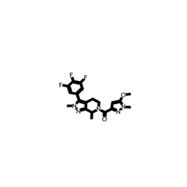 COc1cc(C(=O)N2CCc3c(nn(C)c3-c3cc(F)c(F)c(F)c3)C2C)nn1C